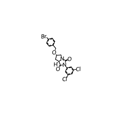 O=C1[C@H]2C[C@@H](OCc3ccc(Br)cc3)CN2C(=O)N1c1cc(Cl)cc(Cl)c1